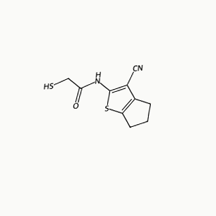 N#Cc1c(NC(=O)CS)sc2c1CCC2